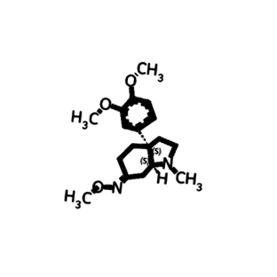 CON=C1CC[C@@]2(c3ccc(OC)c(OC)c3)CCN(C)[C@H]2C1